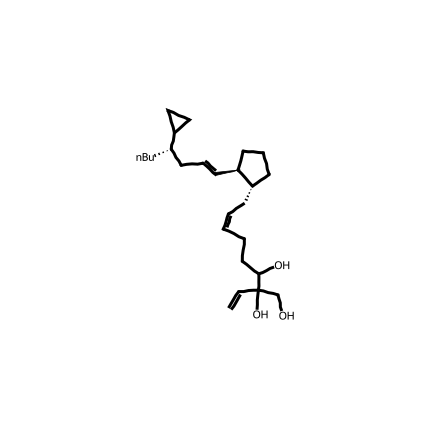 C=CC(O)(CO)C(O)CC/C=C\C[C@H]1CCC[C@@H]1/C=C/C[C@H](CCCC)C1CC1